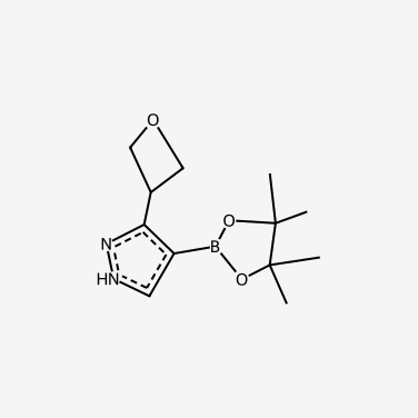 CC1(C)OB(c2c[nH]nc2C2COC2)OC1(C)C